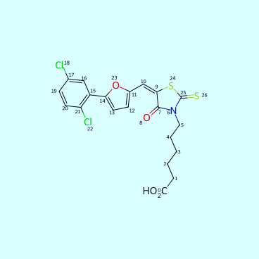 O=C(O)CCCCCN1C(=O)/C(=C\c2ccc(-c3cc(Cl)ccc3Cl)o2)SC1=S